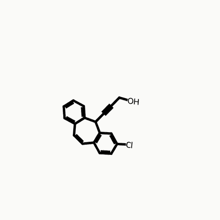 OCC#CC1c2ccccc2C=Cc2ccc(Cl)cc21